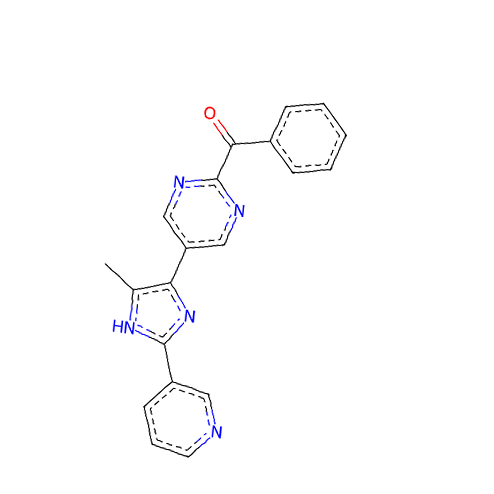 Cc1[nH]c(-c2cccnc2)nc1-c1cnc(C(=O)c2ccccc2)nc1